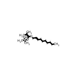 CCCCCCCC=CCOC(O[Si](C)(C)C)=C(C)C